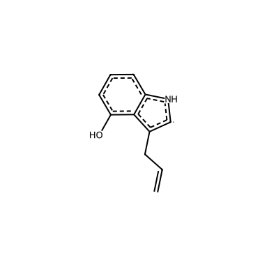 C=CCc1[c][nH]c2cccc(O)c12